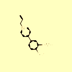 C=CC[n+]1ccc(-c2ccc([N+](=O)[O-])c(OC)c2)cc1